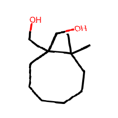 CC1(C)CCCCCCC1(CO)CO